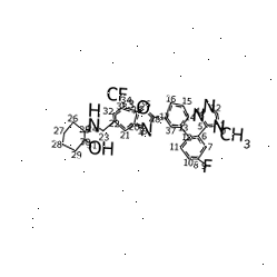 Cn1cnnc1-c1cc(F)ccc1-c1cccc(-c2nc3cc(CNC4CCCCC4O)cc(C(F)(F)F)c3o2)c1